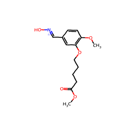 COC(=O)CCCCOc1cc(/C=N/O)ccc1OC